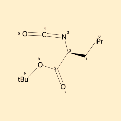 CC(C)C[C@H](N=C=O)C(=O)OC(C)(C)C